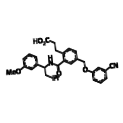 COc1cccc(C(CC(C)C)NC(=O)c2cc(COc3cccc(C#N)c3)ccc2CCC(=O)O)c1